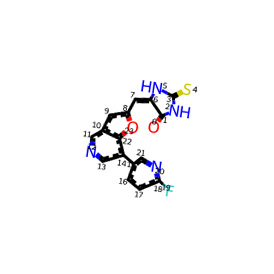 O=C1NC(=S)NC1=Cc1cc2cncc(-c3ccc(F)nc3)c2o1